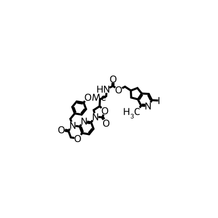 COc1ccc(CN2C(=O)COc3ccc(N4CC(CCNC(=O)OCC5Cc6cc(I)nc(C)c6C5)OC4=O)nc32)cc1